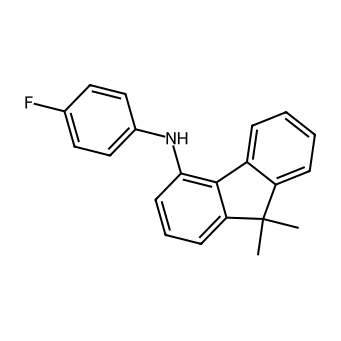 CC1(C)c2ccccc2-c2c(Nc3ccc(F)cc3)cccc21